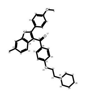 COc1ccc(-c2sc3cc(C)ccc3c2C(=O)c2ccc(OCCN3CCCCC3)cc2)cc1